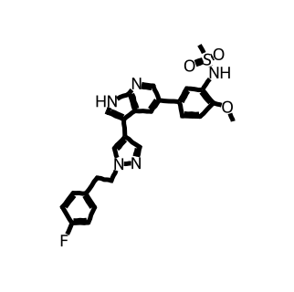 COc1ccc(-c2cnc3[nH]cc(-c4cnn(CCc5ccc(F)cc5)c4)c3c2)cc1NS(C)(=O)=O